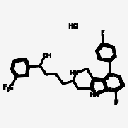 Cl.OC(CCCC1Cc2[nH]c3c(F)ccc(-c4ccc(F)cc4)c3c2CN1)c1cccc(C(F)(F)F)c1